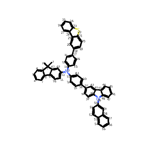 CC1(C)c2ccccc2-c2ccc(N(c3ccc(-c4ccc5sc6ccccc6c5c4)cc3)c3ccc(-c4ccc5c(c4)c4ccccc4n5-c4ccc5ccccc5c4)cc3)cc21